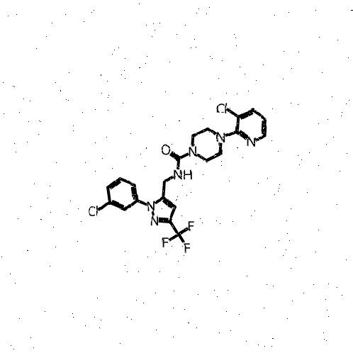 O=C(NCc1cc(C(F)(F)F)nn1-c1cccc(Cl)c1)N1CCN(c2ncccc2Cl)CC1